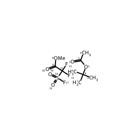 CC(=O)OC(C)(C)C.COC(=O)C(F)(F)S(=O)(=O)F